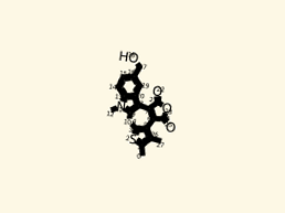 Cc1sc(C)c(C2=C(c3c(C)n(C)c4ccc(CO)cc34)C(=O)OC2=O)c1C